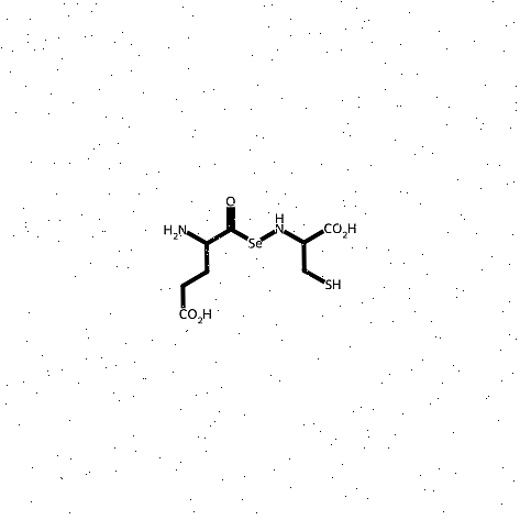 NC(CCC(=O)O)C(=O)[Se]NC(CS)C(=O)O